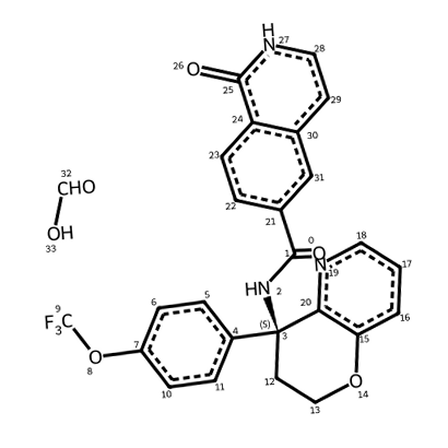 O=C(N[C@]1(c2ccc(OC(F)(F)F)cc2)CCOc2cccnc21)c1ccc2c(=O)[nH]ccc2c1.O=CO